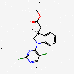 COC(=O)C[C@]1(C)CN(c2nc(Cl)ncc2Cl)c2ccccc21